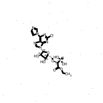 CCOC(=O)[C@@H](OC[C@H]1O[C@@H](n2cnc3c(-n4ccnc4)nc(Cl)nc32)[C@H](O)[C@@H]1O)P(=O)(O)O